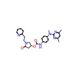 Cc1cc(C)nc(N(C)c2ccc(NC(=O)OC3CC(=O)N(CCc4ccccn4)C3)cc2)n1